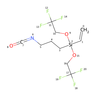 C=C[Si](CCCN=C=O)(OCC(F)(F)F)OCC(F)(F)F